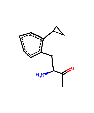 CC(=O)[C@@H](N)Cc1ccccc1C1CC1